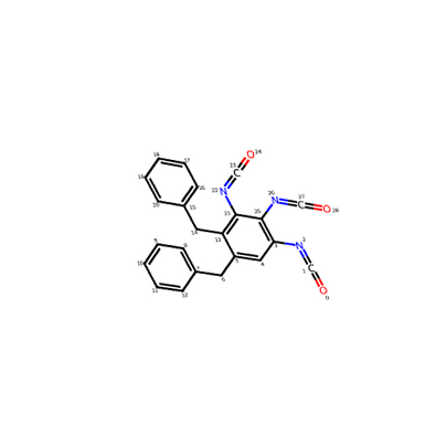 O=C=Nc1cc(Cc2ccccc2)c(Cc2ccccc2)c(N=C=O)c1N=C=O